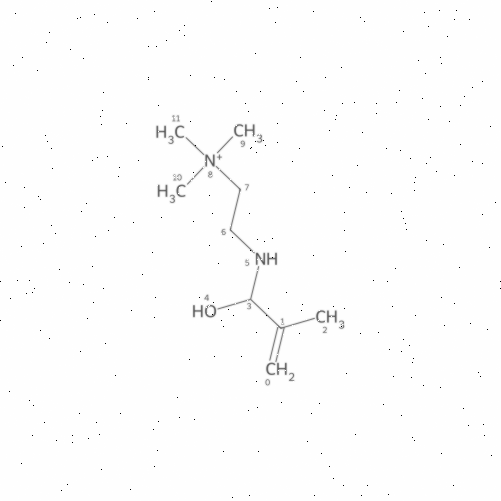 C=C(C)C(O)NCC[N+](C)(C)C